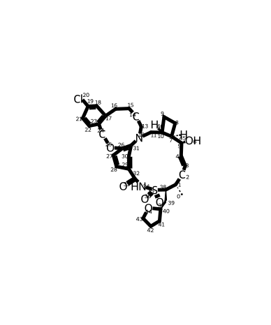 C[C@H]1C/C=C/[C@H](O)[C@@H]2CC[C@H]2CN2CCCCc3cc(Cl)ccc3COc3ccc(cc32)C(=O)NS(=O)(=O)[C@@H]1C[C@H]1CCCO1